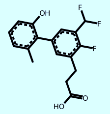 Cc1cccc(O)c1-c1cc(CCC(=O)O)c(F)c(C(F)F)c1